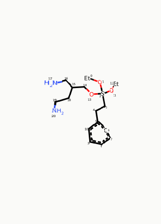 CCO[Si](CCc1ccccc1)(OCC)OCC(CN)CCN